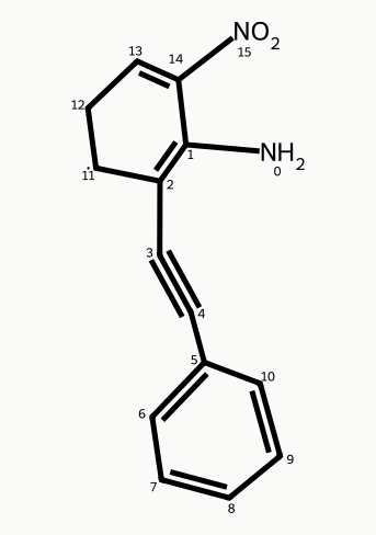 NC1=C(C#Cc2ccccc2)[CH]CC=C1[N+](=O)[O-]